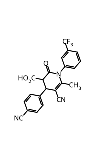 CC1=C(C#N)C(c2ccc(C#N)cc2)C(C(=O)O)C(=O)N1c1cccc(C(F)(F)F)c1